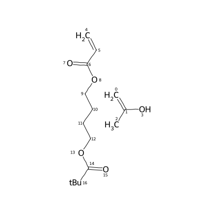 C=C(C)O.C=CC(=O)OCCCCOC(=O)C(C)(C)C